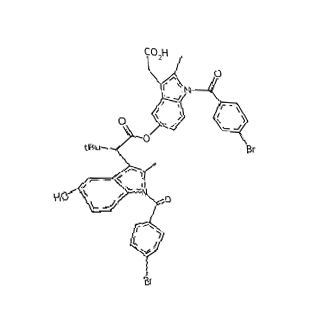 Cc1c(CC(=O)O)c2cc(OC(=O)C(c3c(C)n(C(=O)c4ccc(Br)cc4)c4ccc(O)cc34)C(C)(C)C)ccc2n1C(=O)c1ccc(Br)cc1